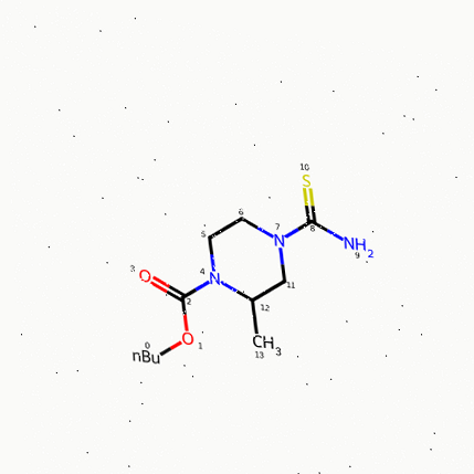 CCCCOC(=O)N1CCN(C(N)=S)CC1C